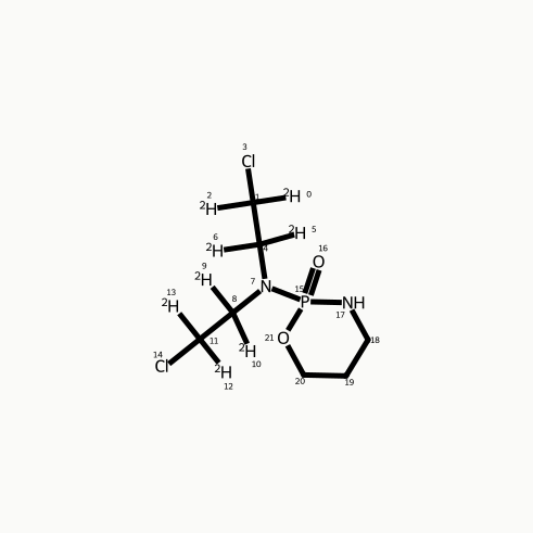 [2H]C([2H])(Cl)C([2H])([2H])N(C([2H])([2H])C([2H])([2H])Cl)P1(=O)NCCCO1